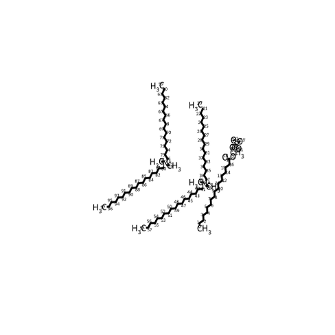 CCCCCCCCCCCCCCCCCC(=O)[O-].CCCCCCCCCCCCCCCCCC[N+](C)(C)CCCCCCCCCCCCCCCCCC.CCCCCCCCCCCCCCCCCC[N+](C)(C)CCCCCCCCCCCCCCCCCC.COS(=O)(=O)[O-]